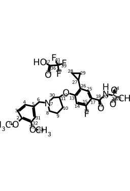 COc1ccc(CN2CCCC(Oc3cc(F)c(C(=O)NS(C)(=O)=O)cc3C3CC3)C2)cc1OC.O=C(O)C(F)(F)F